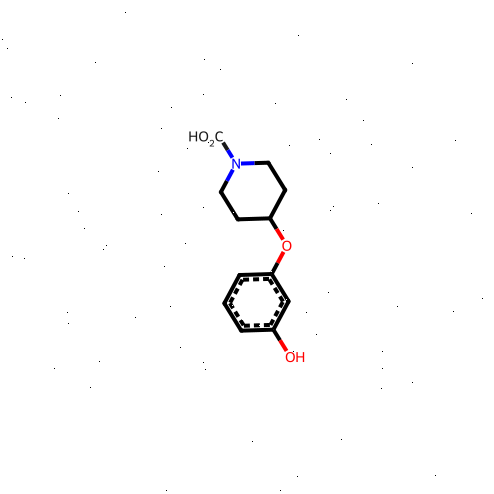 O=C(O)N1CCC(Oc2cccc(O)c2)CC1